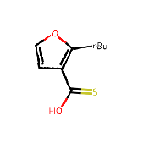 CCCCc1occc1C(O)=S